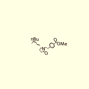 CCCCC(C)=CC=C[C@H]1CCC(=O)N1CCc1ccc(C(=O)OC)cc1